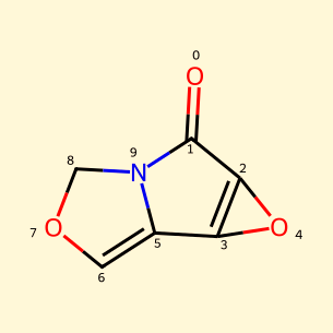 O=C1C2=C(O2)C2=COCN12